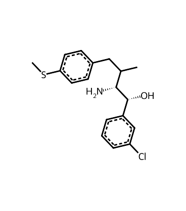 CSc1ccc(CC(C)[C@@H](N)[C@H](O)c2cccc(Cl)c2)cc1